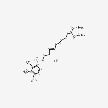 Br.CCCCCCOC(CCCCCC=CCCCPc1ccc(C)c(C)c1C)OCCCCCC